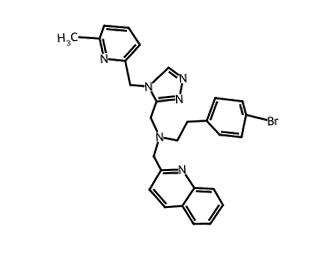 Cc1cccc(Cn2cnnc2CN(CCc2ccc(Br)cc2)Cc2ccc3ccccc3n2)n1